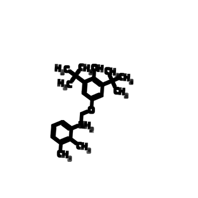 Cc1cccc([SiH2]COc2cc(C(C)(C)C)c(O)c(C(C)(C)C)c2)c1C